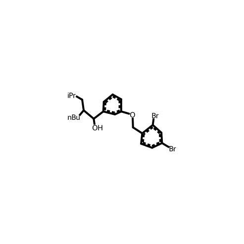 CCCCC(CC(C)C)C(O)c1cccc(OCc2ccc(Br)cc2Br)c1